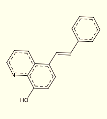 Oc1ccc(C=Cc2ccccc2)c2cccnc12